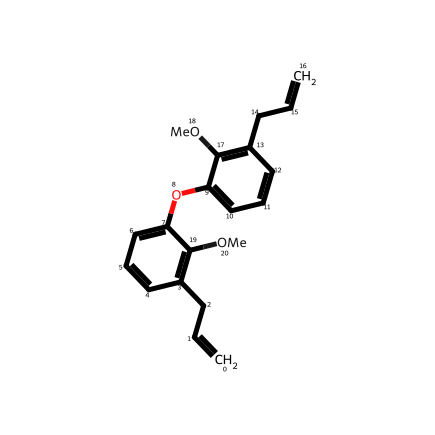 C=CCc1cccc(Oc2cccc(CC=C)c2OC)c1OC